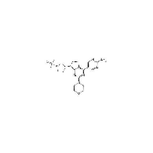 CP(C)(=O)N1CC[C@H](N2CCc3c(-c4cnc(N)nc4)nc(N4CCOCC4)nc32)C1